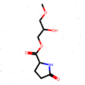 COCC(O)COC(=O)C1CCC(=O)N1